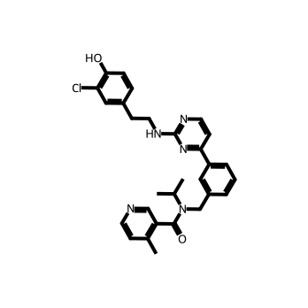 Cc1ccncc1C(=O)N(Cc1cccc(-c2ccnc(NCCc3ccc(O)c(Cl)c3)n2)c1)C(C)C